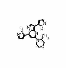 CC1COCCN1c1cc(-c2ccn[nH]2)n2ncc(-c3ccn[nH]3)c2n1